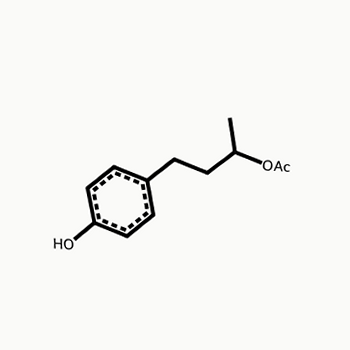 CC(=O)OC(C)CCc1ccc(O)cc1